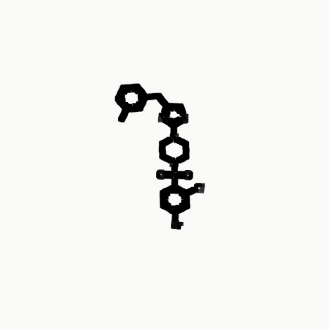 Cc1cccc(Cc2csc(N3CCN(S(=O)(=O)c4ccc(Br)cc4Cl)CC3)n2)c1